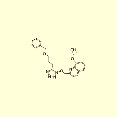 CCOc1cccc2ccc(COn3nnnc3CCCOCc3ccccc3)nc12